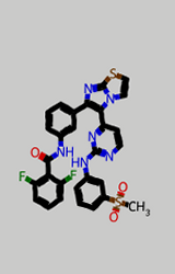 CS(=O)(=O)c1cccc(Nc2nccc(-c3c(-c4cccc(NC(=O)c5c(F)cccc5F)c4)nc4sccn34)n2)c1